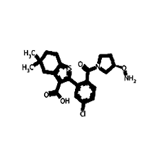 CC1(C)CCc2sc(-c3cc(Cl)ccc3C(=O)N3CC[C@@H](ON)C3)c(C(=O)O)c2C1